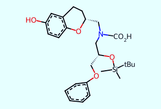 CC(C)(C)[Si](C)(C)O[C@H](COc1ccccc1)CN(C[C@H]1CCc2cc(O)ccc2O1)C(=O)O